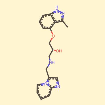 Cc1n[nH]c2cccc(OC[C@@H](O)CNCc3cnc4ccccn34)c12